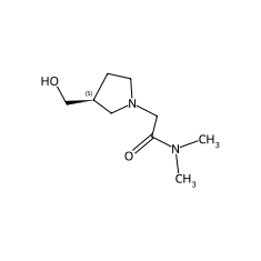 CN(C)C(=O)CN1CC[C@H](CO)C1